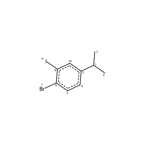 CC(C)c1ccc(Br)c(I)c1